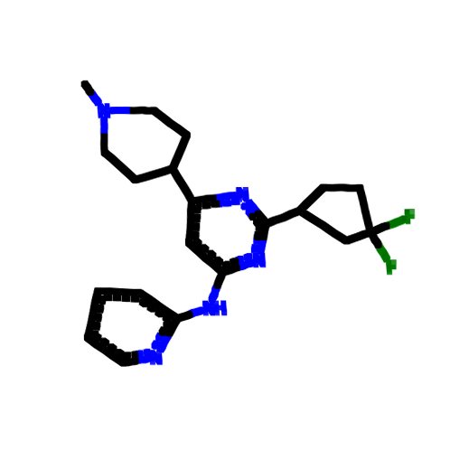 CN1CCC(c2cc(Nc3ccccn3)nc(C3CCC(F)(F)C3)n2)CC1